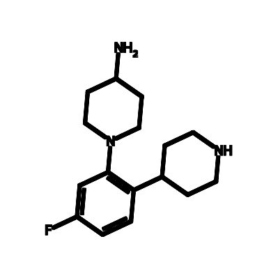 NC1CCN(c2cc(F)ccc2C2CCNCC2)CC1